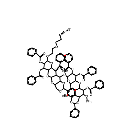 CCCCOCC1OC(OCCOCCN=[N+]=[N-])C(OC(=O)c2ccccc2)C(OC(=O)c2ccccc2)C1OC1OC2COC(c3ccccc3)OC2C(OC2OC(COCCCC)C(OC3OC4COC(c5ccccc5)OC4C(OP)C3OC(=O)c3ccccc3)C(OC(=O)c3ccccc3)C2OC(=O)c2ccccc2)C1OC(=O)c1ccccc1